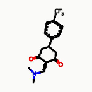 CN(C)C=C1C(=O)CC(c2ccc(C(F)(F)F)cc2)CC1=O